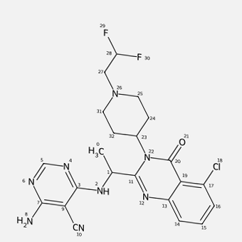 CC(Nc1ncnc(N)c1C#N)c1nc2cccc(Cl)c2c(=O)n1C1CCN(CC(F)F)CC1